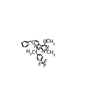 COc1nc(C)nc2c1c(/C=C\OCc1ccccc1)nn2C(C)c1ccc(C(F)(F)F)cc1